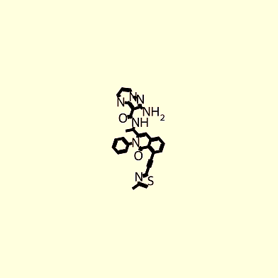 Cc1csc(C#Cc2cccc3cc(C(C)NC(=O)c4c(N)nn5cccnc45)n(-c4ccccc4)c(=O)c23)n1